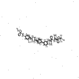 CCOC(=O)/C=C/c1cnc(N2CCN(c3ncc(-c4cccc(CNC(=O)CNC(=O)OC(C)(C)C)c4)cn3)CC2)c(C)c1